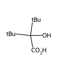 CC(C)(C)C(O)(C(=O)O)C(C)(C)C